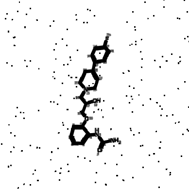 NC(=O)Nc1ccccc1OCC(O)CN1CC=C(c2ccc(F)cc2)CC1